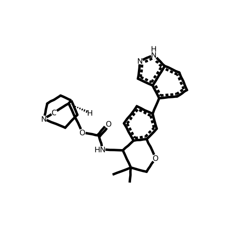 CC1(C)COc2cc(-c3cccc4[nH]ncc34)ccc2C1NC(=O)O[C@H]1CN2CCC1CC2